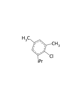 Cc1cc(C)c(Cl)c(C(C)C)c1